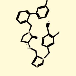 N#Cc1ccc(Cn2cncc2CN[C@H]2CCN(Cc3ccccc3-c3cccc(O)c3)C2=O)cc1F